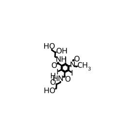 CCN(C=O)c1c(I)c(C(=O)NCC(O)CO)c(I)c(C(=O)NCC(O)CO)c1I